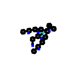 C=N/C(=C\C=C(/C)c1ccc2c3ccc(-c4ccc(-c5ccccc5)nc4)cc3n(-c3cc(-c4cccc(C#N)c4)cc(-n4c5cc(-c6ccc(-c7ccccc7)nc6)ccc5c5ccc(-c6ccc(-c7ccccc7)nc6)cc54)c3C(F)(F)F)c2c1)c1ccccc1